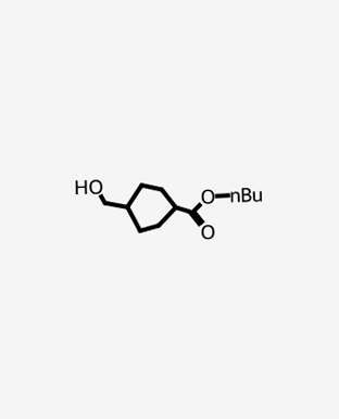 CCCCOC(=O)C1CCC(CO)CC1